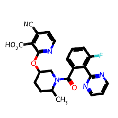 CC1CCC(Oc2nccc(C#N)c2C(=O)O)CN1C(=O)c1cccc(F)c1-c1ncccn1